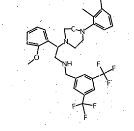 COc1ccccc1C(CNCc1cc(C(F)(F)F)cc(C(F)(F)F)c1)N1CCN(c2cccc(C)c2C)CC1